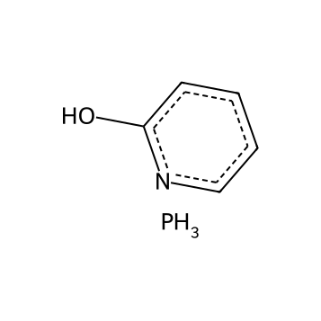 Oc1ccccn1.P